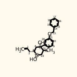 C=CC[C@@H]1C[C@@](C)(c2cccc(OCc3ccccc3)c2)C(C)CN1O